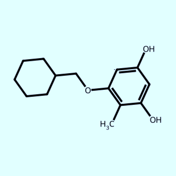 Cc1c(OCC2CCCCC2)[c]c(O)cc1O